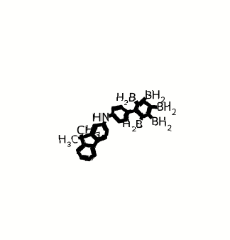 Bc1c(B)c(B)c(-c2ccc(Nc3ccc4c(c3)C(C)(C)c3ccccc3-4)cc2)c(B)c1B